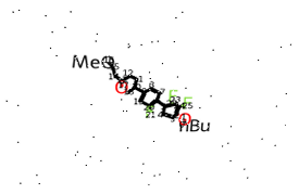 CCCCOc1ccc(-c2ccc(C3CCC(CCOC)OC3)cc2F)c(F)c1F